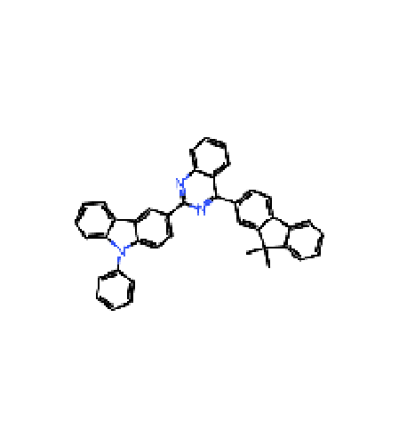 CC1(C)c2ccccc2-c2ccc(-c3nc(-c4ccc5c(c4)c4ccccc4n5-c4ccccc4)nc4ccccc34)cc21